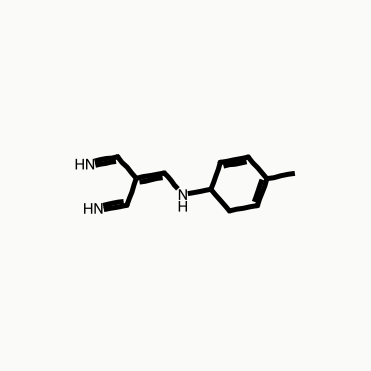 CC1=CCC(NC=C(C=N)C=N)C=C1